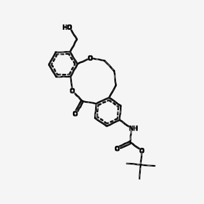 CC(C)(C)OC(=O)Nc1ccc2c(c1)CCCOc1c(CO)cccc1OC2=O